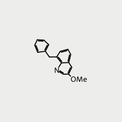 COc1cnc2c(Cc3ccccc3)cccc2c1